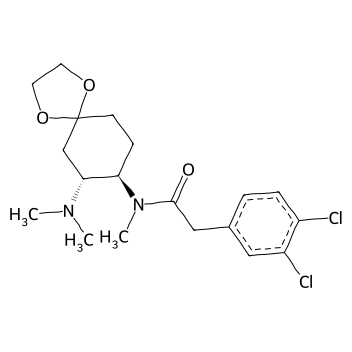 CN(C)[C@@H]1CC2(CC[C@H]1N(C)C(=O)Cc1ccc(Cl)c(Cl)c1)OCCO2